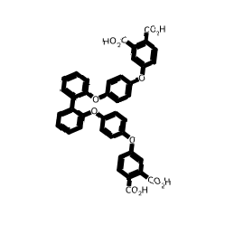 O=C(O)c1ccc(Oc2ccc(Oc3ccccc3-c3ccccc3Oc3ccc(Oc4ccc(C(=O)O)c(C(=O)O)c4)cc3)cc2)cc1C(=O)O